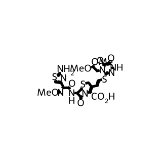 CON=C(C(=O)NC1C(=O)N2C(C(=O)O)=C(C=CSc3n[nH]c(=O)c(=O)n3CC(OC)OC)CSC12)c1csc(N)n1